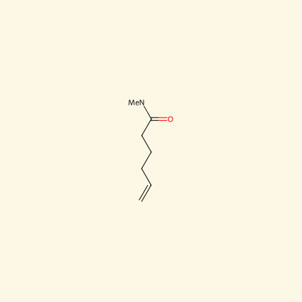 C=CCCCC(=O)NC